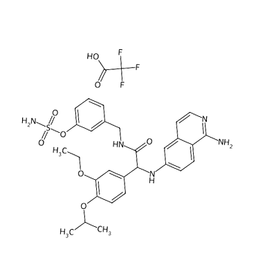 CCOc1cc(C(Nc2ccc3c(N)nccc3c2)C(=O)NCc2cccc(OS(N)(=O)=O)c2)ccc1OC(C)C.O=C(O)C(F)(F)F